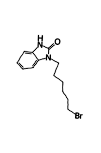 O=c1[nH]c2ccccc2n1CCCCCCBr